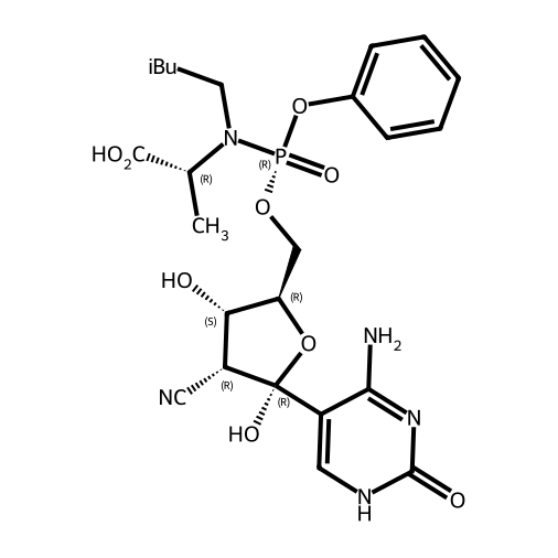 CCC(C)CN([C@H](C)C(=O)O)[P@@](=O)(OC[C@H]1O[C@@](O)(c2c[nH]c(=O)nc2N)[C@H](C#N)[C@@H]1O)Oc1ccccc1